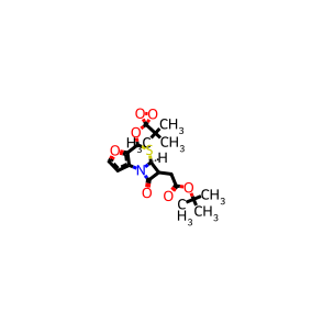 CC(C)(C)OC(=O)CC1C(=O)N2c3ccoc3C(OC3(C(C)(C)C)OO3)S[C@@H]12